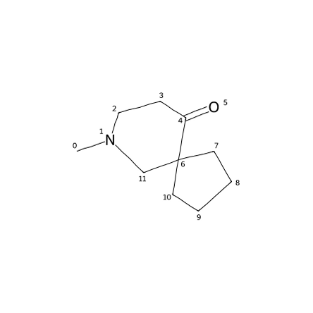 CN1CCC(=O)C2(CCCC2)C1